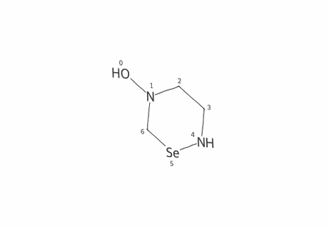 ON1CCN[Se]C1